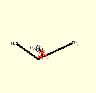 CCCCCCCCCCCCCCCCCC=CC(=O)OC[C@H](COP(=O)([O-])OCC[N+](C)(C)C)OC(=O)/C=C\CCCCCCCCCCCCCCCCC